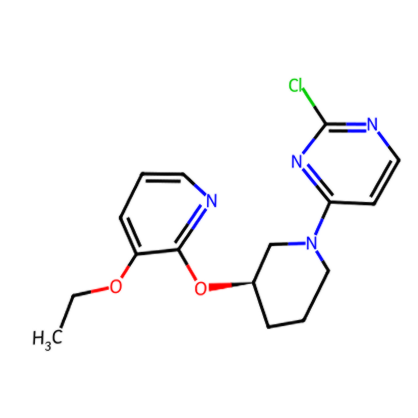 CCOc1cccnc1O[C@@H]1CCCN(c2ccnc(Cl)n2)C1